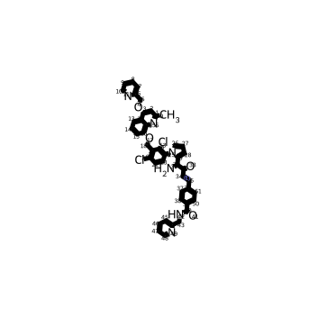 Cc1cc(OCc2ccccn2)c2cccc(OCc3c(Cl)ccc(-n4cccc4C(N)C(=O)/C=C/c4ccc(C(=O)NCc5ccccn5)cc4)c3Cl)c2n1